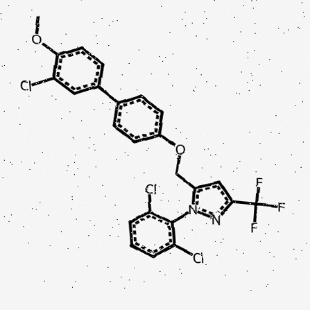 COc1ccc(-c2ccc(OCc3cc(C(F)(F)F)nn3-c3c(Cl)cccc3Cl)cc2)cc1Cl